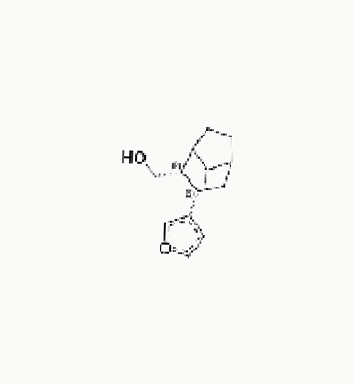 CC1C2CCC1[C@@H](CO)[C@@H](c1ccoc1)C2